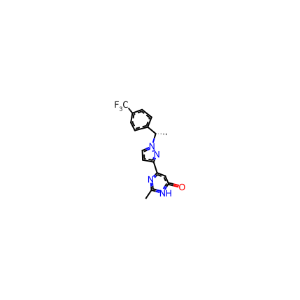 Cc1nc(-c2ccn([C@@H](C)c3ccc(C(F)(F)F)cc3)n2)cc(=O)[nH]1